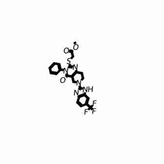 COC(=O)CSc1nc2c(c(=O)n1-c1ccccc1)CN(c1nc3ccc(C(F)(F)F)cc3[nH]1)CC2